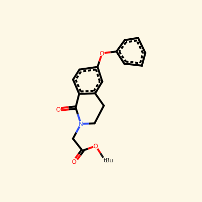 CC(C)(C)OC(=O)CN1CCc2cc(Oc3ccccc3)ccc2C1=O